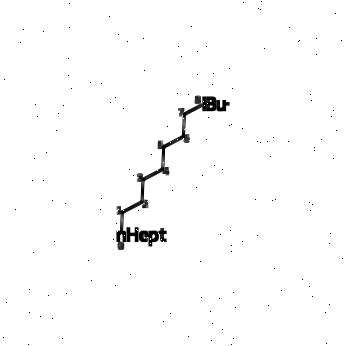 CCCCCCCCCCCCCC[C](C)CC